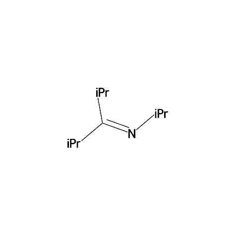 CC(C)N=C(C(C)C)C(C)C